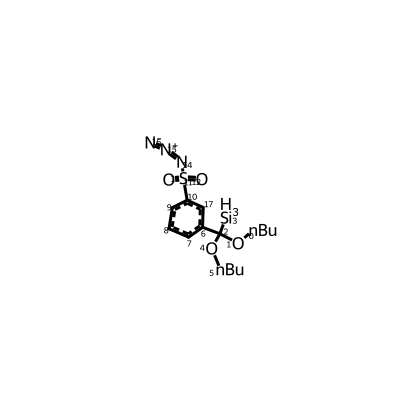 CCCCOC([SiH3])(OCCCC)c1cccc(S(=O)(=O)N=[N+]=[N-])c1